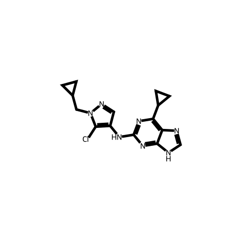 Clc1c(Nc2nc(C3CC3)c3nc[nH]c3n2)cnn1CC1CC1